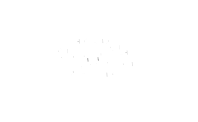 O=C(CC(=O)OC1O[C@H](CO)[C@@H](O)[C@H](O)[C@H]1O)OC1O[C@H](CO)[C@@H](O)[C@H](O)[C@H]1O.O=[C]C[C]=O